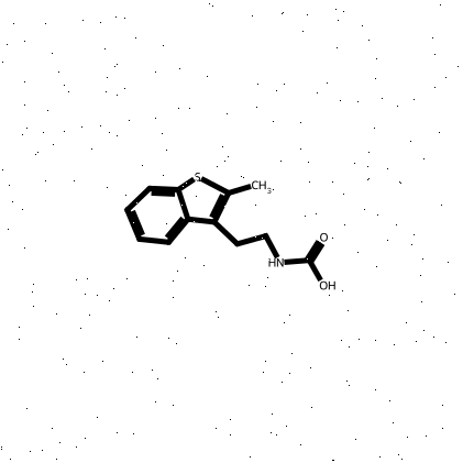 Cc1sc2ccccc2c1CCNC(=O)O